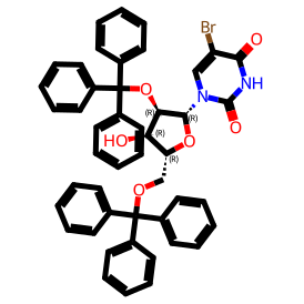 O=c1[nH]c(=O)n([C@@H]2O[C@H](COC(c3ccccc3)(c3ccccc3)c3ccccc3)[C@@H](O)[C@H]2OC(c2ccccc2)(c2ccccc2)c2ccccc2)cc1Br